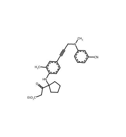 CCOC(=O)CC(=O)C1(Nc2ccc(C#CCN(C)c3cccc(C#N)c3)cc2C)CCCC1